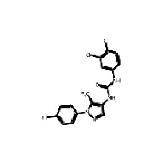 O=C(Nc1ccc(Cl)c(Cl)c1)Nc1cnn(-c2ccc(Cl)cc2)c1C(F)(F)F